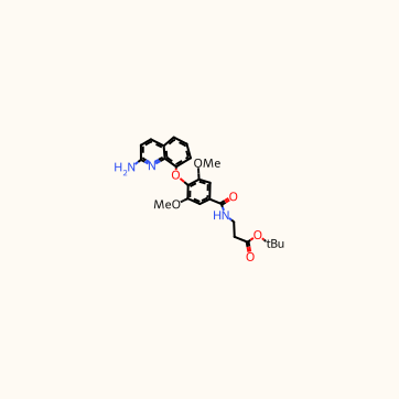 COc1cc(C(=O)NCCC(=O)OC(C)(C)C)cc(OC)c1Oc1cccc2ccc(N)nc12